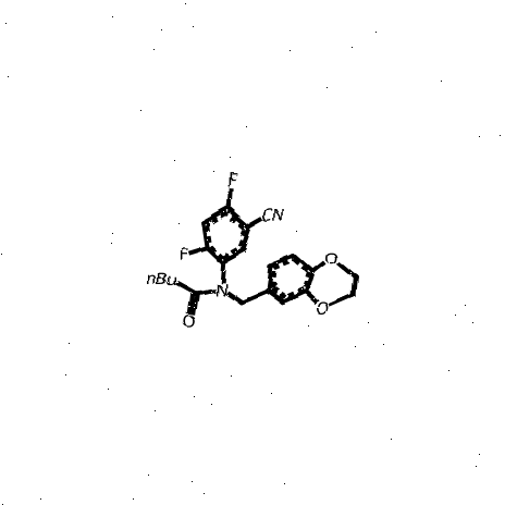 CCCCC(=O)N(Cc1ccc2c(c1)OCCO2)c1cc(C#N)c(F)cc1F